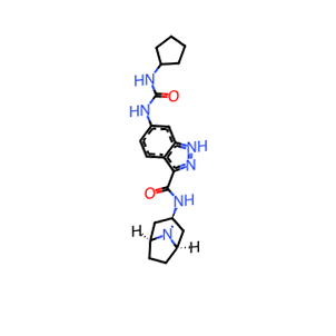 CN1[C@@H]2CC[C@H]1C[C@@H](NC(=O)c1n[nH]c3cc(NC(=O)NC4CCCC4)ccc13)C2